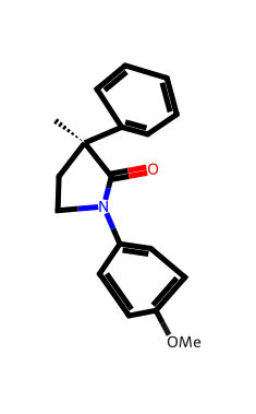 COc1ccc(N2CC[C@@](C)(c3ccccc3)C2=O)cc1